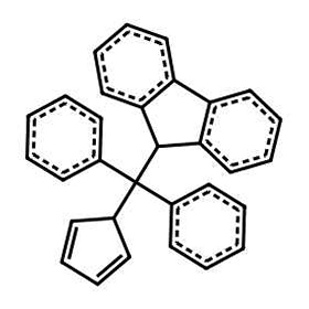 C1=CC(C(c2ccccc2)(c2ccccc2)C2c3ccccc3-c3ccccc32)C=C1